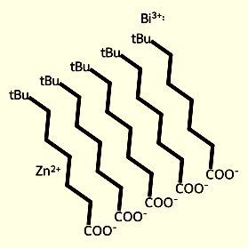 CC(C)(C)CCCCCC(=O)[O-].CC(C)(C)CCCCCC(=O)[O-].CC(C)(C)CCCCCC(=O)[O-].CC(C)(C)CCCCCC(=O)[O-].CC(C)(C)CCCCCC(=O)[O-].[Bi+3].[Zn+2]